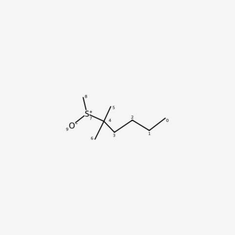 CCCCC(C)(C)[S+](C)[O-]